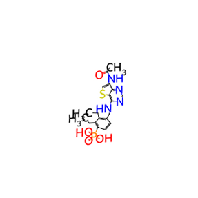 CCc1c(CNc2ncnc3c(NC(C)=O)csc23)ccc(P(=O)(O)O)c1CC